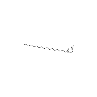 CCCCCCCCCCCCCCCCCN1CCN(C)C1